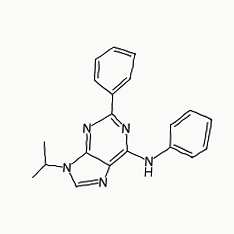 CC(C)n1cnc2c(Nc3ccccc3)nc(-c3ccccc3)nc21